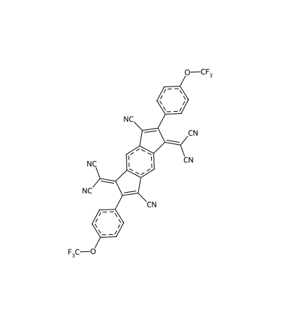 N#CC(C#N)=C1C(c2ccc(OC(F)(F)F)cc2)=C(C#N)c2cc3c(cc21)C(C#N)=C(c1ccc(OC(F)(F)F)cc1)C3=C(C#N)C#N